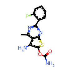 Cc1nc(-c2ccccc2F)nc2sc(OC(N)=O)c(N)c12